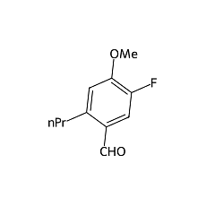 CCCc1cc(OC)c(F)cc1C=O